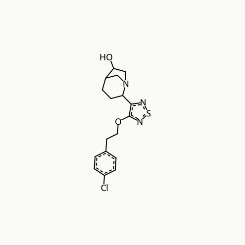 OC1CN2CC1CCC2c1nsnc1OCCc1ccc(Cl)cc1